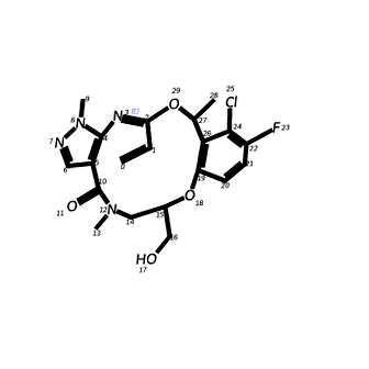 C=C/C1=N\c2c(cnn2C)C(=O)N(C)CC(CO)Oc2ccc(F)c(Cl)c2C(C)O1